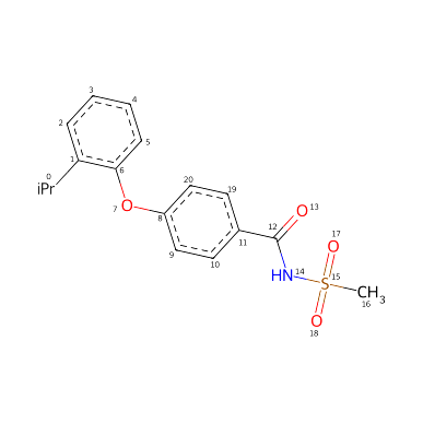 CC(C)c1ccccc1Oc1ccc(C(=O)NS(C)(=O)=O)cc1